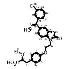 CCOC(Cc1ccc(OCCn2c(=O)sc3cc(/C(=N\O)c4cccc(Cl)c4)ccc32)cc1)C(=O)O